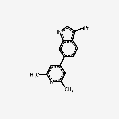 Cc1cc(-c2[c]cc3c(C(C)C)c[nH]c3c2)cc(C)n1